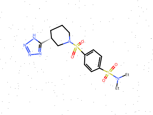 CCN(CC)S(=O)(=O)c1ccc(S(=O)(=O)N2CCC[C@@H](c3nnn[nH]3)C2)cc1